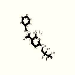 Nc1nc(OCC(F)(F)C(F)(F)F)ccc1C(=O)OCc1ccccc1